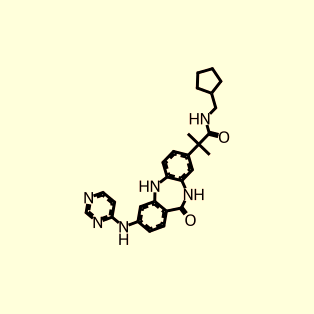 CC(C)(C(=O)NCC1CCCC1)c1ccc2c(c1)NC(=O)c1ccc(Nc3ccncn3)cc1N2